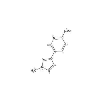 CNc1ccc(-c2cnn(C)c2)nn1